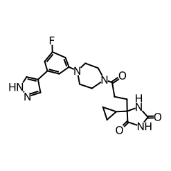 O=C1NC(=O)C(CCC(=O)N2CCN(c3cc(F)cc(-c4cn[nH]c4)c3)CC2)(C2CC2)N1